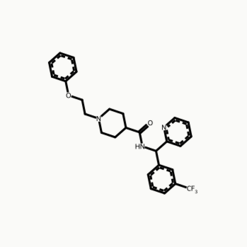 O=C(NC(c1cccc(C(F)(F)F)c1)c1ccccn1)C1CCN(CCOc2ccccc2)CC1